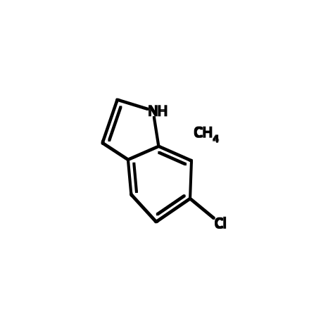 C.Clc1ccc2cc[nH]c2c1